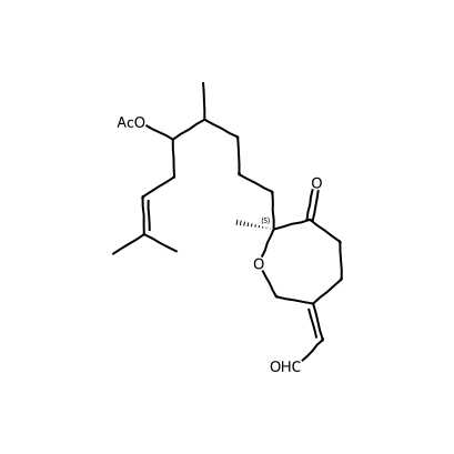 CC(=O)OC(CC=C(C)C)C(C)CCC[C@]1(C)OCC(=CC=O)CCC1=O